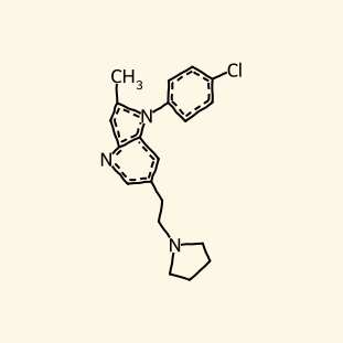 Cc1cc2ncc(CCN3CCCC3)cc2n1-c1ccc(Cl)cc1